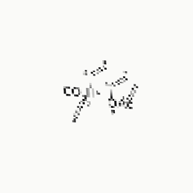 C=C.C=C.C=CC(=O)O.C=COC(C)=O